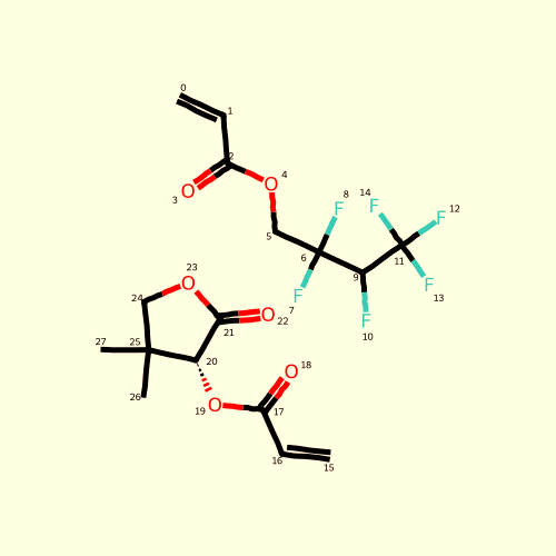 C=CC(=O)OCC(F)(F)C(F)C(F)(F)F.C=CC(=O)O[C@H]1C(=O)OCC1(C)C